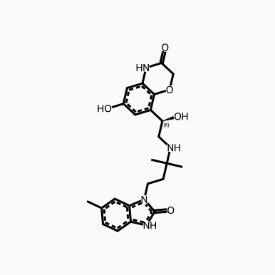 Cc1ccc2[nH]c(=O)n(CCC(C)(C)NC[C@H](O)c3cc(O)cc4c3OCC(=O)N4)c2c1